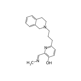 C/N=C/c1nc(CCCN2CCc3ccccc3C2)ccc1O